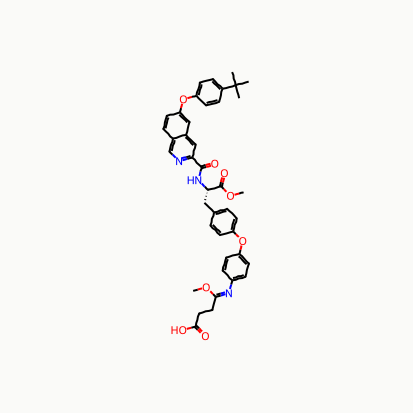 COC(=O)[C@H](Cc1ccc(Oc2ccc(N=C(CCC(=O)O)OC)cc2)cc1)NC(=O)c1cc2cc(Oc3ccc(C(C)(C)C)cc3)ccc2cn1